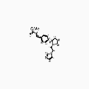 COC(=O)C=Cc1ccc([C@@H]2CCCN2CCn2ccnc2)cc1